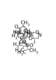 Cc1cn([C@@H]2O[C@@]34C=NOC2[C@H]3O[Si](C(C)C)(C(C)C)O[Si](C(C)C)(C(C)C)OC4)c(=O)[nH]c1=O